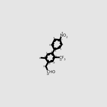 Cc1cc(-c2ccc([N+](=O)[O-])cc2)c(C(F)(F)F)cc1[CH]C=O